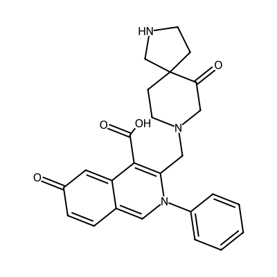 O=C(O)c1c2cc(=O)ccc-2cn(-c2ccccc2)c1CN1CCC2(CCNC2)C(=O)C1